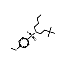 CCCCN(CCC(C)(C)C)S(=O)(=O)c1ccc(OC)cc1